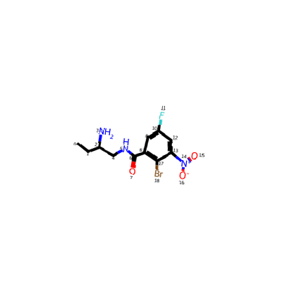 CCC(N)CNC(=O)c1cc(F)cc([N+](=O)[O-])c1Br